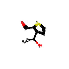 CC(O)c1ccsc1C=O